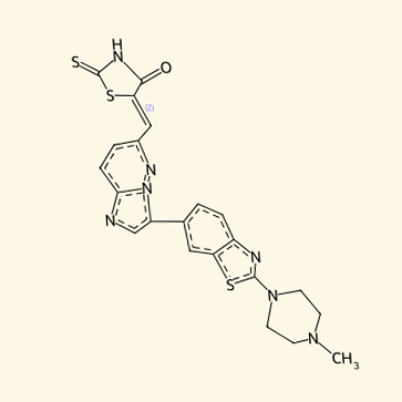 CN1CCN(c2nc3ccc(-c4cnc5ccc(/C=C6\SC(=S)NC6=O)nn45)cc3s2)CC1